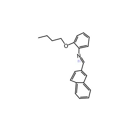 CCCCOc1ccccc1/N=C/c1ccc2ccccc2c1